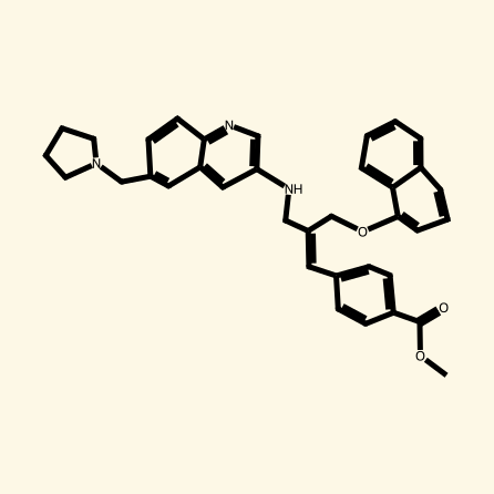 COC(=O)c1ccc(C=C(CNc2cnc3ccc(CN4CCCC4)cc3c2)COc2cccc3ccccc23)cc1